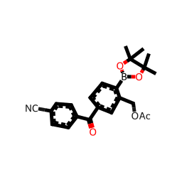 CC(=O)OCc1cc(C(=O)c2ccc(C#N)cc2)ccc1B1OC(C)(C)C(C)(C)O1